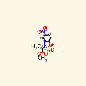 COC(=O)[C@H](C)NP(=O)(Cl)Oc1ccc([N+](=O)[O-])cc1